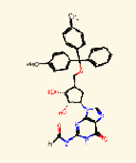 COc1ccc(C(OC[C@H]2C[C@@H](n3cnc4c(=O)[nH]c(NC(=O)C(C)C)nc43)[C@H](O)[C@@H]2O)(c2ccccc2)c2ccc(C)cc2)cc1